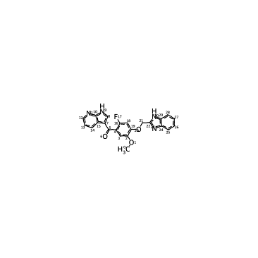 COc1cc(C(=O)c2c[nH]c3ncccc23)c(F)cc1OCc1nc2ccccc2[nH]1